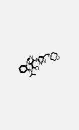 CC(C)n1c(=O)c2c(-n3cc(CN4CCOCC4)nn3)ncn2c2ccccc21